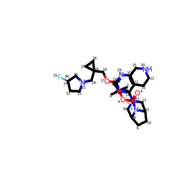 CC(C)(C)OC(=O)N1C2CCC1CN(c1nc(OCC3(CN4CC[C@@H](F)C4)CC3)nc3c1CCNC3)C2